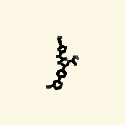 C#Cc1nc(NC(=O)N[C@@H](COC(N)=O)c2ccc(-c3cc(C#N)ccn3)cc2)cs1